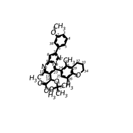 COc1cccc(-c2cc3nc(C)c(C(OC(C)(C)C)C(=O)O)c(-c4cc(F)c5c(c4C)CCCO5)n3n2)c1